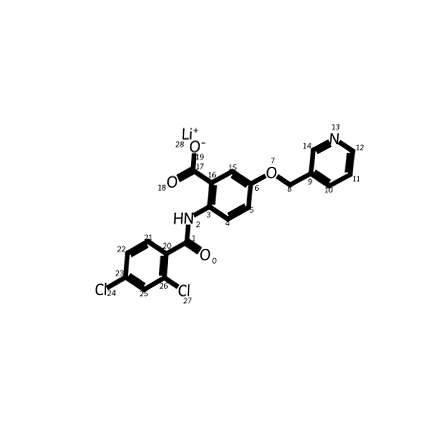 O=C(Nc1ccc(OCc2cccnc2)cc1C(=O)[O-])c1ccc(Cl)cc1Cl.[Li+]